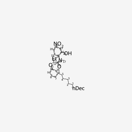 CCCCCCCCCCCCCCCc1cccc(OC(CC)C(=O)N(C)c2ccc([N+](=O)[O-])cc2O)c1